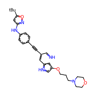 CC(C)(C)c1cc(Nc2ccc(C#C/C(C=N)=C/c3cc(OCCCN4CCOCC4)c[nH]3)cc2)no1